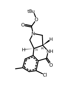 Cc1cc(Cl)c2c(c1)[C@H]1CN(C(=O)OC(C)(C)C)C[C@@H]1NC2=O